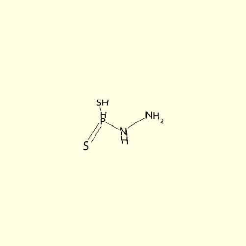 NN[PH](=S)S